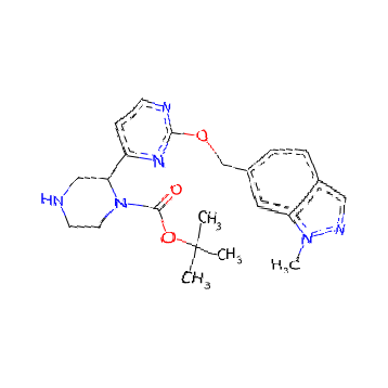 Cn1ncc2ccc(COc3nccc(C4CNCCN4C(=O)OC(C)(C)C)n3)cc21